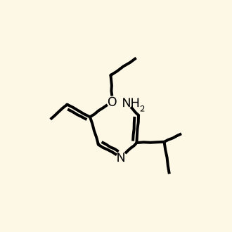 C\C=C(/C=N\C(=C/N)C(C)C)OCC